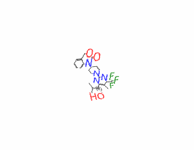 Cc1c([C@H](CO)C(C)C)nc(N2CCC(N3C(=O)OCc4ccccc43)CC2)nc1C(F)(F)F